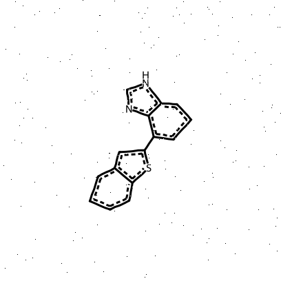 [c]1nc2c(-c3cc4ccccc4s3)cccc2[nH]1